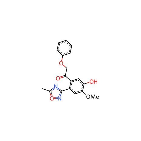 COc1cc(-c2noc(C)n2)c(C(=O)COc2ccccc2)cc1O